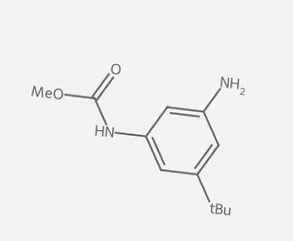 COC(=O)Nc1cc(N)cc(C(C)(C)C)c1